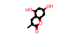 Cc1cc2c(O)cc(O)cc2oc1=O